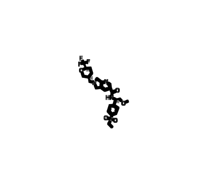 CCS(=O)(=O)c1ccc([C@H](COC)NC(=O)c2cnc3c(c2)CN(C[C@@H]2CC[C@H](C(F)(F)F)OC2)C3)cc1